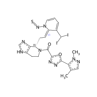 Cc1cnn(C)c1-c1nnc(C(=O)N2CCc3[nH]cnc3[C@@H]2C/C=C2/C(C(I)I)=CC=CN2N=S)o1